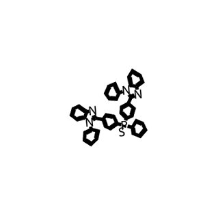 S=P(c1ccccc1)(c1ccc(-c2nc3ccccc3n2-c2ccccc2)cc1)c1ccc(-c2nc3ccccc3n2-c2ccccc2)cc1